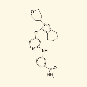 NC(=O)c1cccc(Nc2cc(Oc3c4c(nn3C3CCOCC3)CCCC4)ccn2)c1